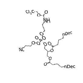 CCCCCCCCCCCCCC(=O)OCC(COP(=O)(OOCCC#N)OOCCNC(=O)OCC(Cl)(Cl)Cl)OC(=O)CCCCCCCCCCCCC